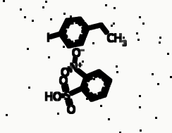 CCc1ccc(I)cc1.O=[N+]([O-])c1ccccc1S(=O)(=O)O